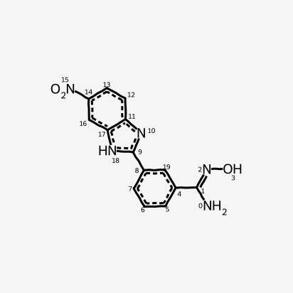 NC(=NO)c1cccc(-c2nc3ccc([N+](=O)[O-])cc3[nH]2)c1